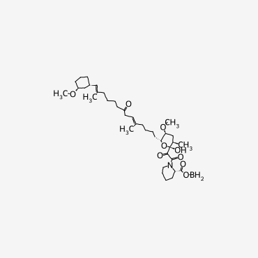 BOC(=O)[C@@H]1CCCCN1C(=O)C(=O)[C@]1(O)O[C@H](CCCC/C(C)=C/CC(=O)CCCC/C(C)=C/[C@@H]2CCC[C@H](OC)C2)[C@@H](OC)C[C@H]1C